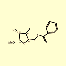 CO[C@H]1O[C@H](COC(=O)c2ccccc2)[C@H](F)[C@H]1O